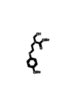 COC(=O)N(CO)CCSc1ccc(OC)cc1